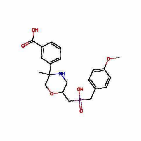 COc1ccc(CP(=O)(O)CC2CNC(C)(c3cccc(C(=O)O)c3)CO2)cc1